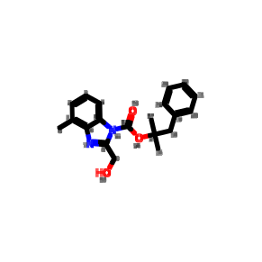 Cc1cccc2c1nc(CO)n2C(=O)OC(C)(C)Cc1ccccc1